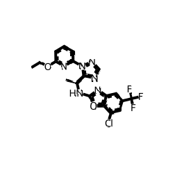 CCOc1cccc(-n2ncnc2[C@H](C)Nc2nc3cc(C(F)(F)F)cc(Cl)c3o2)n1